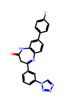 O=C1CC(c2cccc(-n3cnnn3)c2)=Nc2ccc(-c3ccc(F)cc3)cc2N1